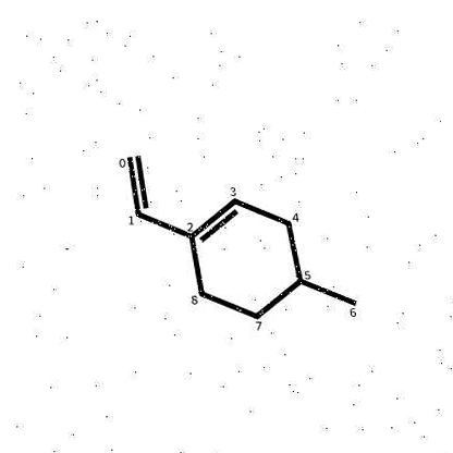 C=CC1=CCC(C)CC1